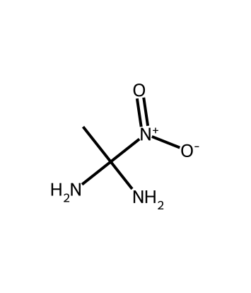 CC(N)(N)[N+](=O)[O-]